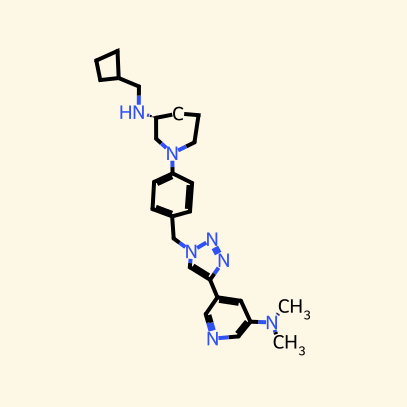 CN(C)c1cncc(-c2cn(Cc3ccc(N4CCC[C@@H](NCC5CCC5)C4)cc3)nn2)c1